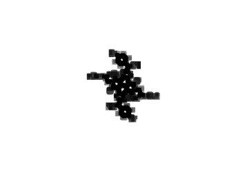 CCCCCCCCCCC(CCCCCCCC)Cn1c(=O)c2c3sc(=C(C#N)c4ccc(Br)cc4)sc3c3c(=O)n(CC(CCCCCCCC)CCCCCCCCCC)c(=O)c4c5sc(=C(C#N)c6ccc(Br)cc6)sc5c(c1=O)c2c34